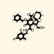 O=C(NCc1c(F)cc(F)cc1F)c1c2n3c(c(OCc4ccccc4)c1=O)C(=O)N1CCCC[C@]3(C[C@H]2CO)C1